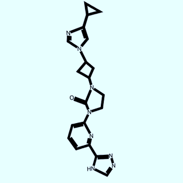 O=C1N(c2cccc(-c3nnc[nH]3)n2)CCN1C1CC(n2cnc(C3CC3)c2)C1